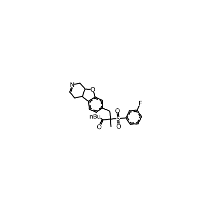 CCCCC(=O)C(C)(Cc1ccc2c(c1)OC1CN=CCC21)S(=O)(=O)c1cccc(F)c1